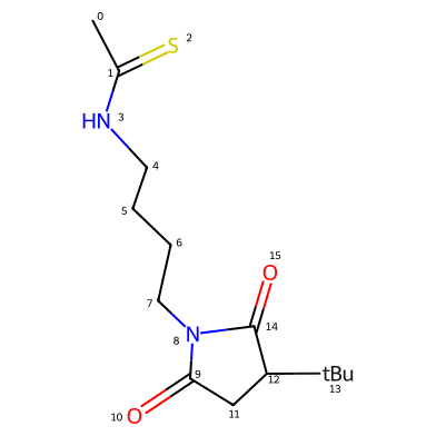 CC(=S)NCCCCN1C(=O)CC(C(C)(C)C)C1=O